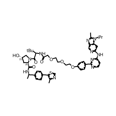 Cc1ncsc1-c1ccc(C(C)NC(=O)[C@H]2C[C@H](O)CN2C(=O)C(NC(=O)COCCOCCOc2ccc(-c3nccc(Nc4cc5c(cn4)nc(C)n5C(C)C)n3)cc2)C(C)(C)C)cc1